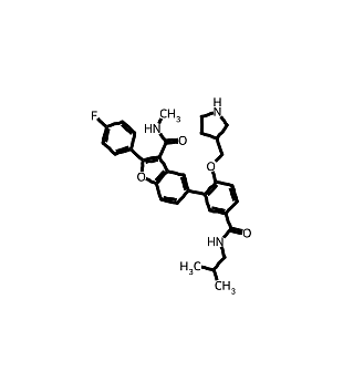 CNC(=O)c1c(-c2ccc(F)cc2)oc2ccc(-c3cc(C(=O)NCC(C)C)ccc3OCC3CCNC3)cc12